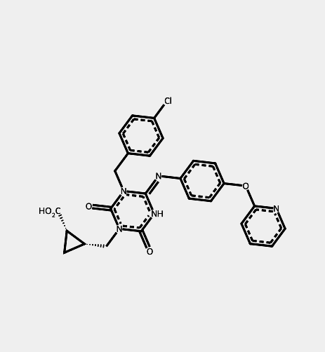 O=C(O)[C@H]1C[C@H]1Cn1c(=O)[nH]/c(=N\c2ccc(Oc3ccccn3)cc2)n(Cc2ccc(Cl)cc2)c1=O